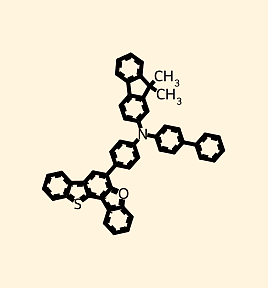 CC1(C)c2ccccc2-c2ccc(N(c3ccc(-c4ccccc4)cc3)c3ccc(-c4cc5c6ccccc6sc5c5c4oc4ccccc45)cc3)cc21